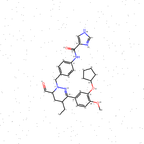 CCC1CC(C=O)N(Cc2ccc(NC(=O)c3c[nH]cn3)cc2)N=C1c1ccc(OC)c(OC2CCCC2)c1